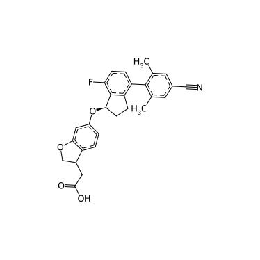 Cc1cc(C#N)cc(C)c1-c1ccc(F)c2c1CC[C@H]2Oc1ccc2c(c1)OCC2CC(=O)O